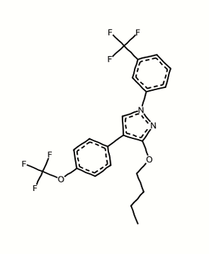 CCCCOc1nn(-c2cccc(C(F)(F)F)c2)cc1-c1ccc(OC(F)(F)F)cc1